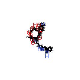 CC[C@H]1OC(=O)[C@H](C)C(=O)[C@H](C)[C@@H](O[C@@H]2O[C@H](C)C[C@H](N(C)C)[C@H]2O)[C@@](C)(OC)C[C@@H](C)C(=O)[C@H](C)[C@H]2N(CCCCn3cc(Cc4c[nH]c5ccccc45)nn3)C(=O)O[C@]12C